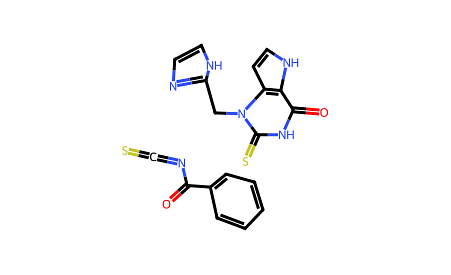 O=C(N=C=S)c1ccccc1.O=c1[nH]c(=S)n(Cc2ncc[nH]2)c2cc[nH]c12